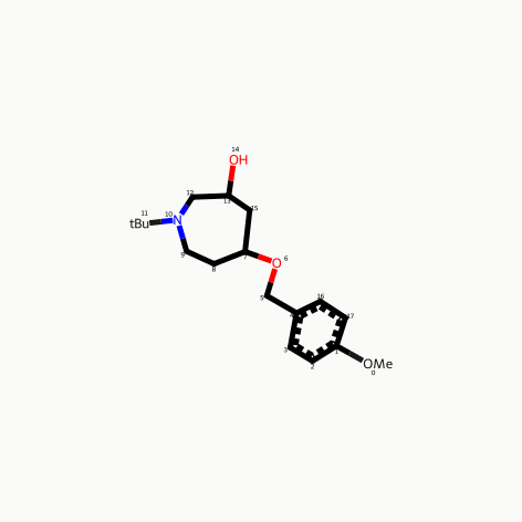 COc1ccc(COC2CCN(C(C)(C)C)CC(O)C2)cc1